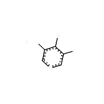 Nc1c(Br)cncc1C(=O)O